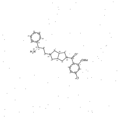 COc1cc(Cl)ccc1C(=O)N1CC2CN(CC[C@H](N)c3ccccc3)CC2C1